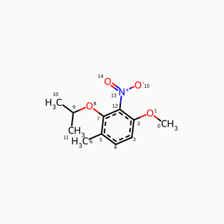 COc1ccc(C)c(OC(C)C)c1[N+](=O)[O-]